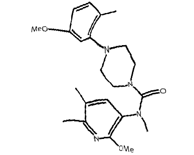 COc1ccc(C)c(N2CCN(C(=O)N(C)c3cc(C)c(C)nc3OC)CC2)c1